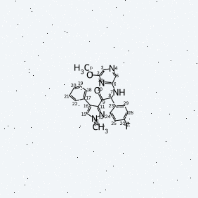 COc1cncc(NC(C(=O)c2nn(C)cc2-c2ccccc2)c2ccc(F)cc2)n1